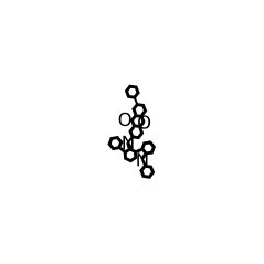 O=c1c2cc(-c3ccccc3)ccc2oc2ccc(-n3c4ccccc4c4ccc5c(c6ccccc6n5-c5ccccc5)c43)cc12